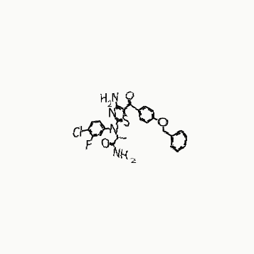 C[C@@H](C(N)=O)N(c1ccc(Cl)c(F)c1)c1nc(N)c(C(=O)c2ccc(OCc3ccccc3)cc2)s1